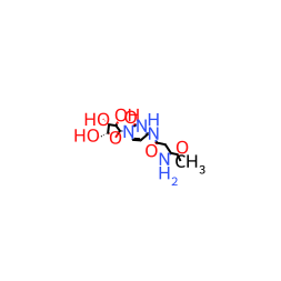 CC(=O)C(N)CC(=O)Nc1ccn([C@@H]2O[C@H](CO)[C@H](O)C2O)c(=O)n1